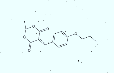 CCCOc1ccc(C=C2C(=O)OC(C)(C)OC2=O)cc1